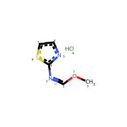 CO/C=N\c1nccs1.Cl